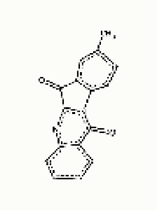 Cc1ccc2c(c1)C(=O)c1nc3ccccc3c(=O)n1-2